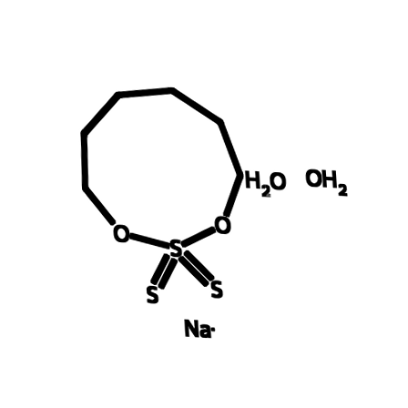 O.O.S=S1(=S)OCCCCCCO1.[Na]